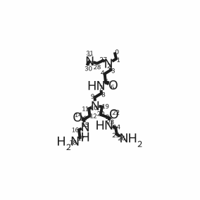 CCN(CCC(=O)NCCN(CCC(=O)NCCN)CCC(=O)NCCN)CCN(C)C